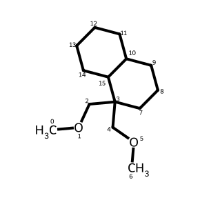 COCC1(COC)CCCC2CCCCC21